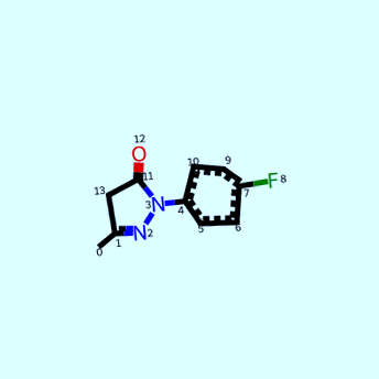 CC1=NN(c2ccc(F)cc2)C(=O)C1